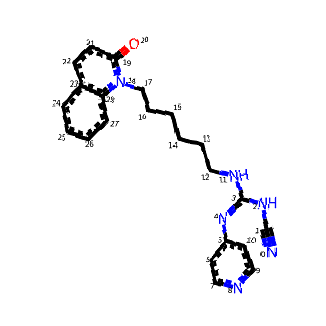 N#CNC(=Nc1ccncc1)NCCCCCCn1c(=O)ccc2ccccc21